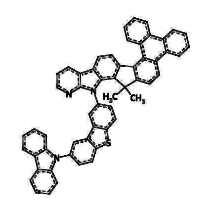 CC1(C)c2ccc3c4ccccc4c4ccccc4c3c2-c2ccc3c4cccnc4n(-c4ccc5sc6ccc(-n7c8ccccc8c8ccccc87)cc6c5c4)c3c21